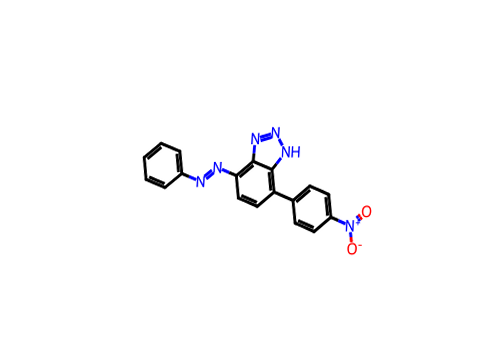 O=[N+]([O-])c1ccc(-c2ccc(N=Nc3ccccc3)c3nn[nH]c23)cc1